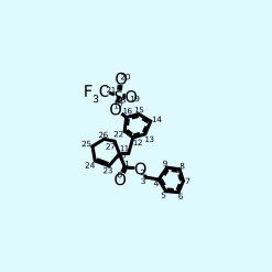 O=C(OCc1ccccc1)C1(Cc2cccc(OS(=O)(=O)C(F)(F)F)c2)C=CCCC1